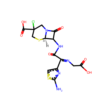 Nc1nc(C(=NCC(=O)O)C(=O)NC2C(=O)N3CC(Cl)(C(=O)O)CS[C@H]23)cs1